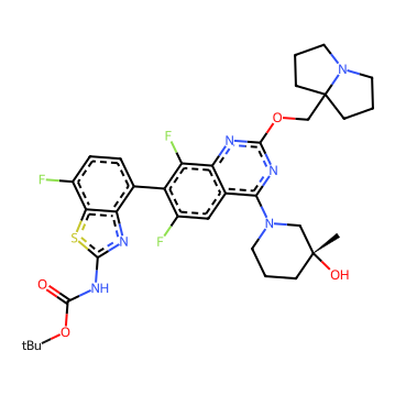 CC(C)(C)OC(=O)Nc1nc2c(-c3c(F)cc4c(N5CCC[C@@](C)(O)C5)nc(OCC56CCCN5CCC6)nc4c3F)ccc(F)c2s1